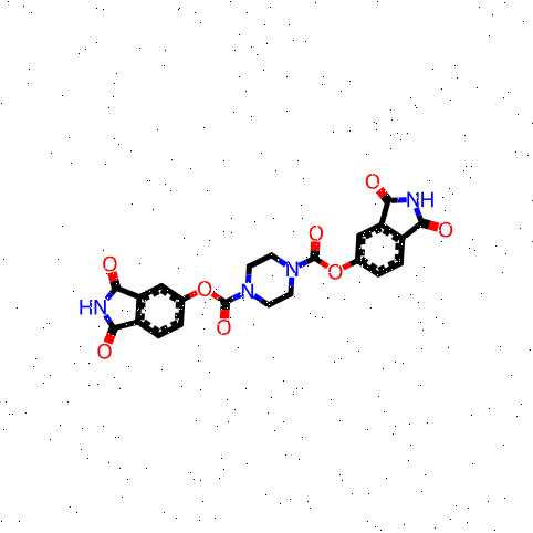 O=C1NC(=O)c2cc(OC(=O)N3CCN(C(=O)Oc4ccc5c(c4)C(=O)NC5=O)CC3)ccc21